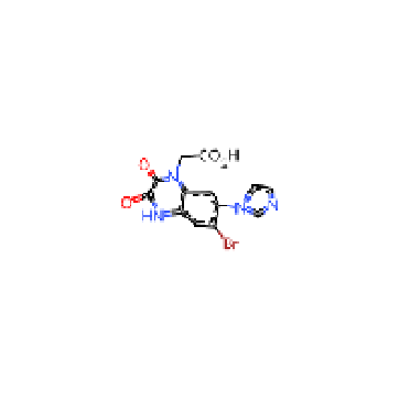 O=C(O)Cn1c(=O)c(=O)[nH]c2cc(Br)c(-n3ccnc3)cc21